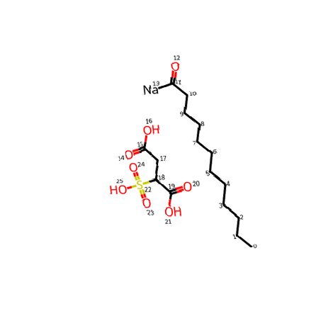 CCCCCCCCCCC[C](=O)[Na].O=C(O)CC(C(=O)O)S(=O)(=O)O